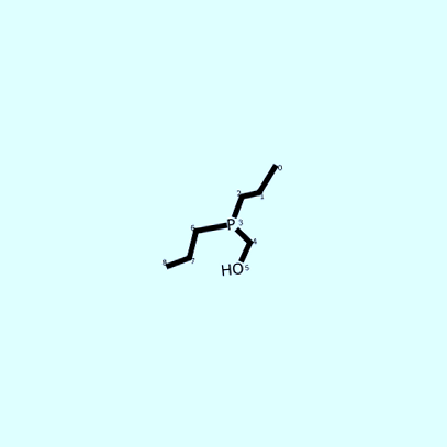 CCCP(CO)CCC